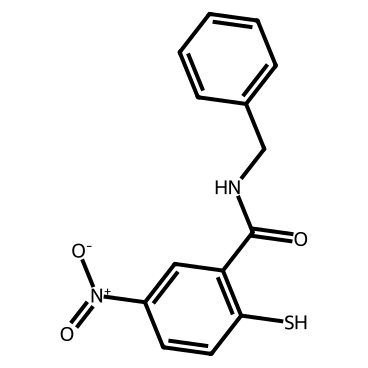 O=C(NCc1ccccc1)c1cc([N+](=O)[O-])ccc1S